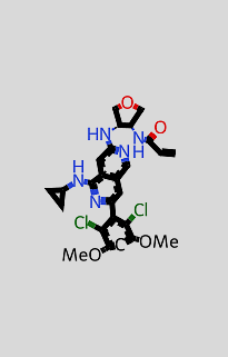 C=CC(=O)N[C@H]1COC[C@H]1Nc1cc2c(NC3CC3)nc(-c3c(Cl)c(OC)cc(OC)c3Cl)cc2cn1